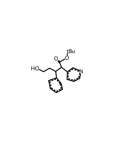 CC(C)(C)OC(=O)C(c1cccnc1)C(CCO)c1ccccc1